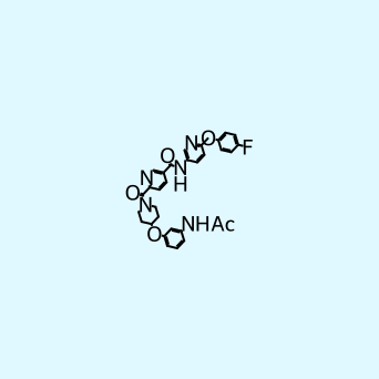 CC(=O)Nc1cccc(OC2CCN(C(=O)c3ccc(C(=O)Nc4ccc(Oc5ccc(F)cc5)nc4)cn3)CC2)c1